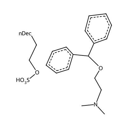 CCCCCCCCCCCCOS(=O)(=O)O.CN(C)CCOC(c1ccccc1)c1ccccc1